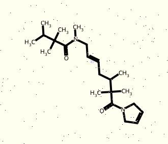 CC(C)C(C)(C)C(=O)N(C)C/C=C/CC(C)C(C)(C)C(=O)N1CC=CC1